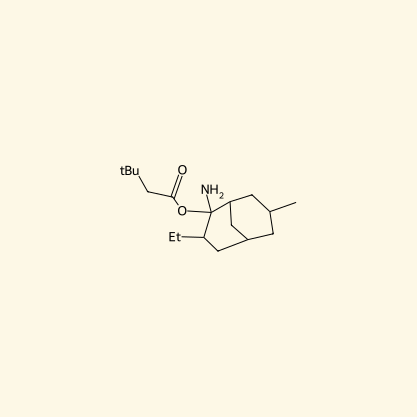 CCC1CC2CC(C)CC(C2)C1(N)OC(=O)CC(C)(C)C